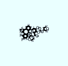 O=C(Oc1c2n(ccc1=O)N([C@@H]1c3ccccc3-c3scnc3-c3c1ccc(F)c3F)[C@@H]1COCCN1C2=O)O[C@H]1CCOC1